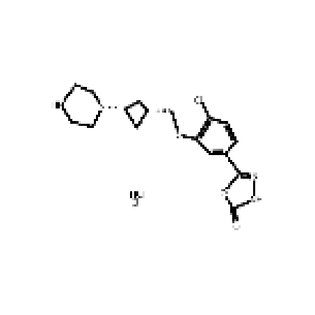 Cl.Cl.O=c1[nH]nc(-c2ccc(Cl)c(OC[C@H]3C[C@@H](N4CCNCC4)C3)c2)o1